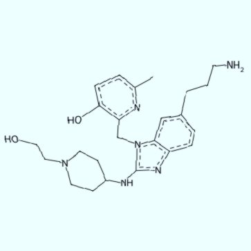 Cc1ccc(O)c(Cn2c(NC3CCN(CCO)CC3)nc3ccc(CCCN)cc32)n1